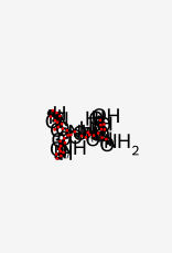 COc1cc2c(cc1OCc1cc(COc3cc4c(cc3OC)C(=O)N3c5ccccc5C[C@H]3CN4)cc(NC(=O)OCc3ccc(NC(=O)[C@H](CCCNC(N)=O)NC(=O)[C@@H](NC(=O)CCC(=O)O)C(C)C)cc3)c1)N=C[C@@H]1Cc3ccccc3N1C2=O